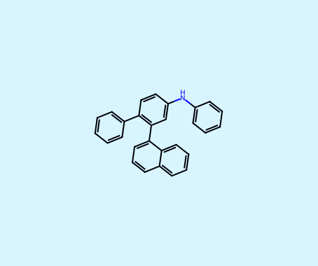 c1ccc(Nc2ccc(-c3ccccc3)c(-c3cccc4ccccc34)c2)cc1